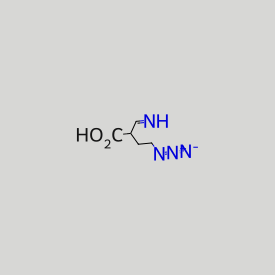 [N-]=[N+]=NCCC(C=N)C(=O)O